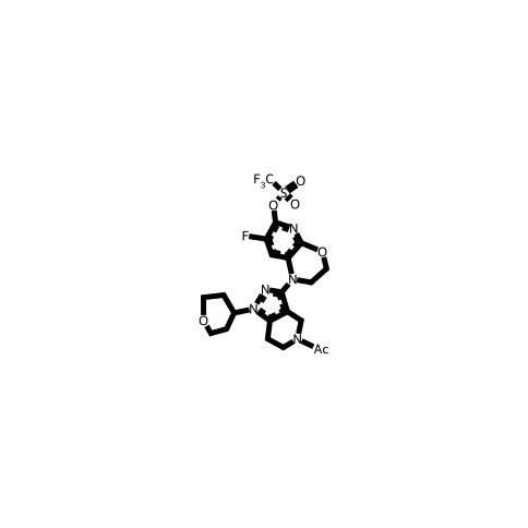 CC(=O)N1CCc2c(c(N3CCOc4nc(OS(=O)(=O)C(F)(F)F)c(F)cc43)nn2C2CCOCC2)C1